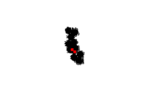 CC1(C)N=C(c2ccccc2)N(c2cccc(-c3ccc4c(c3)C3(c5ccccc5-c5ccccc53)c3c-4ccc4cc(-c5cccc(N6C(c7ccccc7)=NC(C)(C)C6(C)C)c5)ccc34)c2)C1(C)C